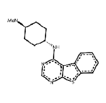 CN[C@H]1CC[C@H](Nc2ncnc3sc4ccccc4c23)CC1